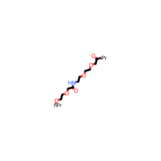 CCCOCCOCC(=O)NCCOCCOCC(=O)C(C)C